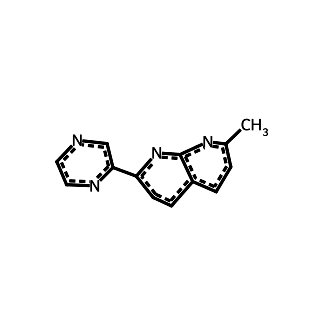 Cc1ccc2ccc(-c3cnccn3)nc2n1